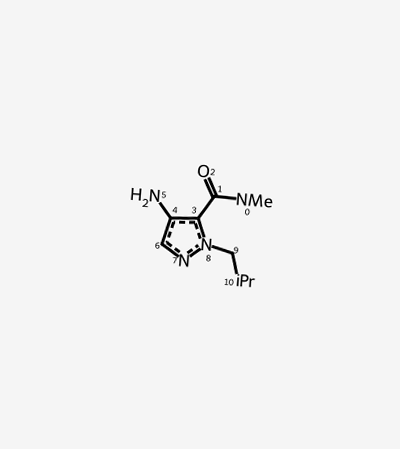 CNC(=O)c1c(N)cnn1CC(C)C